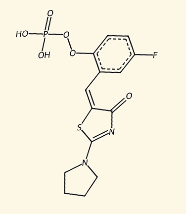 O=C1N=C(N2CCCC2)SC1=Cc1cc(F)ccc1OOP(=O)(O)O